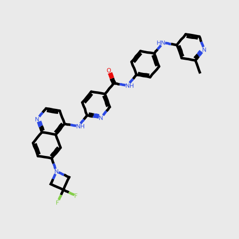 Cc1cc(Nc2ccc(NC(=O)c3ccc(Nc4ccnc5ccc(N6CC(F)(F)C6)cc45)nc3)cc2)ccn1